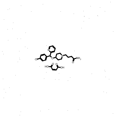 NC(=O)CCCN1CCC(OC(c2ccc(Cl)cc2)c2ccccn2)CC1.O=C(O)/C=C\C(=O)O